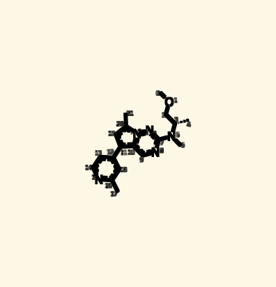 COC[C@H](C)N(C)c1ncc2c(-c3ccnc(C)c3)cc(C)n2n1